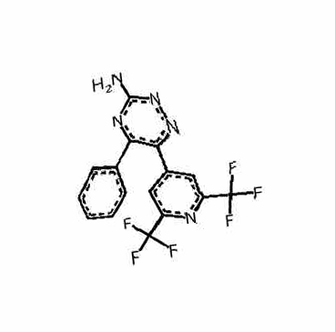 Nc1nnc(-c2cc(C(F)(F)F)nc(C(F)(F)F)c2)c(-c2ccccc2)n1